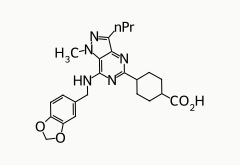 CCCc1nn(C)c2c(NCc3ccc4c(c3)OCO4)nc(C3CCC(C(=O)O)CC3)nc12